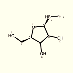 [2H]B[C@@H]1O[C@H](CO)C(O)C1O